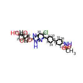 CS(=O)(=O)Nc1ccc(-c2ccc(-c3nc4[nH]c(O[C@@H]5CO[C@H]6[C@@H]5OC[C@H]6O)nc4cc3Cl)cc2)cc1